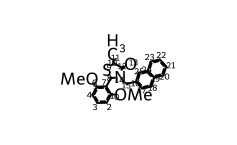 COc1cccc(OC)c1C1SC(C)C(=O)N1Cc1ccc2ccccc2c1